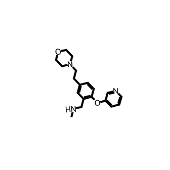 CNCc1cc(CCN2CCOCC2)ccc1Oc1cccnc1